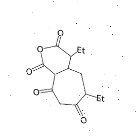 CCC1CC2C(CC)C(=O)OC(=O)C2C(=O)CC1=O